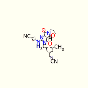 Cc1cc(/C=C/C#N)cc(C)c1Oc1nc(NC23CC(C#N)(C2)C3)nc2c1[C@H]1OCCCN1C2=O